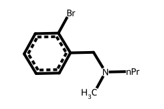 CCCN(C)Cc1ccccc1Br